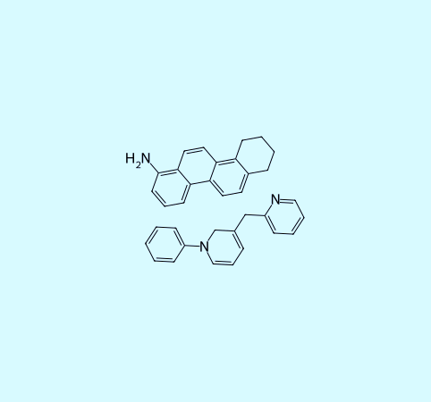 C1=CN(c2ccccc2)CC(Cc2ccccn2)=C1.Nc1cccc2c1ccc1c3c(ccc12)CCCC3